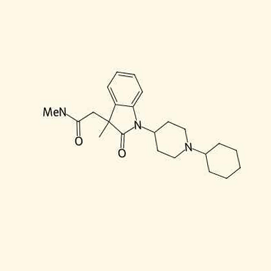 CNC(=O)CC1(C)C(=O)N(C2CCN(C3CCCCC3)CC2)c2ccccc21